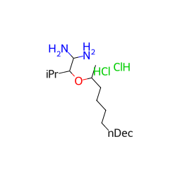 CCCCCCCCCCCCCCC(C)OC(C(C)C)C(N)N.Cl.Cl